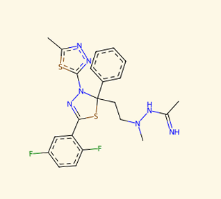 CC(=N)NN(C)CCC1(c2ccccc2)SC(c2cc(F)ccc2F)=NN1c1nnc(C)s1